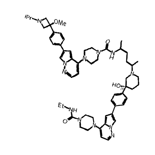 CCNC(=O)N1CCN(c2ccnn3cc(-c4ccc([C@@]5(O)CCCN(C(C)CCC(C)NC(=O)N6CCN(c7ccnn8cc(-c9ccc(C%10(OC)CN(C(C)C)C%10)cc9)cc78)CC6)C5)cc4)cc23)CC1